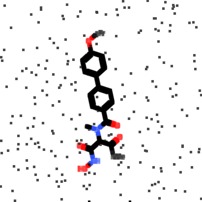 CCCOc1ccc(-c2ccc(C(=O)N(C)C(C(=O)NC)C(=O)NO)cc2)cc1